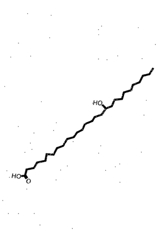 CCCCCCCCCCC(O)CCCCCCCCCCCCCCCCC(=O)O